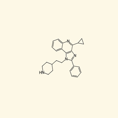 c1ccc(-c2nc3c(C4CC4)nc4ccccc4c3n2CCC2CCNCC2)cc1